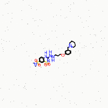 CN(C)S(=O)(=O)c1ccc2c(c1)S(=O)(=O)N=C(NNCCCOc1cccc(CN3CCCCC3)c1)N2